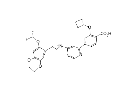 O=C(O)c1ccc(-c2cc(NCCc3cc4c(cc3OC(F)F)OCCO4)ncn2)cc1OC1CCC1